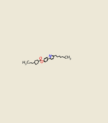 CCCCCCCc1ccc(-c2ccc(OC(=O)C3CCC(CCCC)CC3)cc2)nc1